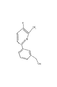 Cc1nc(-c2cccc(CO)c2)ccc1F